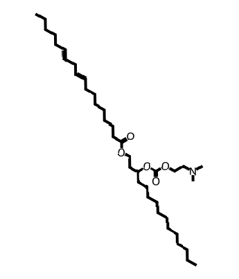 CCCCC/C=C/C/C=C/CCCCCCCC(=O)OCCC(CCCCCCCCCCCC)OC(=O)OCCN(C)C